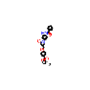 COC(=O)c1ccc(OCC2CC(=O)N(c3ccc(NC(=O)c4ccccc4)cc3)C2)cc1